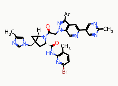 CC(=O)c1nn(CC(=O)N2[C@H](C(=O)Nc3nc(Br)ccc3C)C[C@@]3(Cn4cnc(C)c4)C[C@@H]23)c2cnc(-c3cnc(C)nc3)cc12